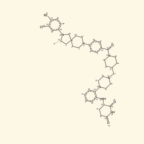 C[C@H]1CC2(CCN(c3ccc(C(=O)N4CCC(CN5CCN(c6ccccc6NC6CCC(=O)NC6=O)CC5)CC4)cc3)CC2)CN1c1ccc(C#N)c(Cl)c1